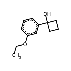 CCOc1cccc(C2(O)CCC2)c1